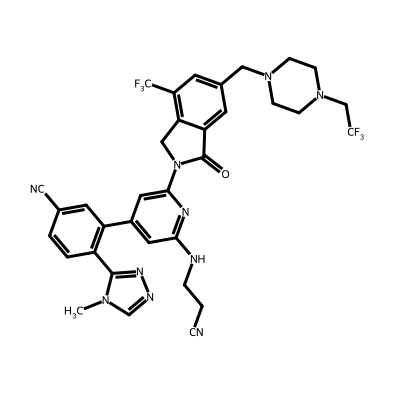 Cn1cnnc1-c1ccc(C#N)cc1-c1cc(NCCC#N)nc(N2Cc3c(cc(CN4CCN(CC(F)(F)F)CC4)cc3C(F)(F)F)C2=O)c1